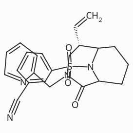 C=C[C@H]1CN(Cc2ccccn2)C(=O)C2CCCC1N2S(=O)(=O)c1cccc(C#N)c1